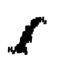 CC(C)(N)C(=O)N1CCN(C(=O)Nc2ccn(-c3ccc(CCN4CCCC(N)CC4)c(F)c3)c(=O)n2)CC1.Cl